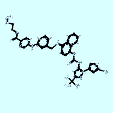 COCCNC(=O)c1cnc(Nc2cc(COc3ccc(NC(=O)Nc4cc(C(C)(C)C)nn4-c4csc(C)c4)c4ccccc34)ccn2)cn1